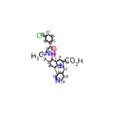 CC(Cc1ccc2c(c1)cc(C(=O)O)n2Cc1ccncc1)NCC(O)c1cccc(Cl)c1